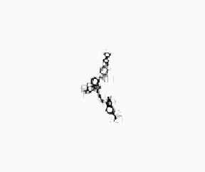 CS(=O)(=O)c1ccc2c(c1)oc(=O)n2CC#Cc1cc2c(N[C@H]3CC[C@H](N4CC5(COC5)C4)CC3)cccc2n1CC(F)(F)F